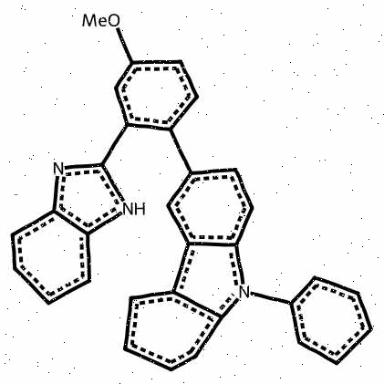 COc1ccc(-c2ccc3c(c2)c2ccccc2n3-c2ccccc2)c(-c2nc3ccccc3[nH]2)c1